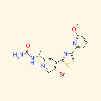 COc1cccc(-c2csc(-c3cc(C(C)NC(N)=O)ncc3Br)n2)n1